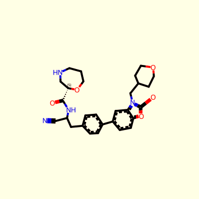 N#CC(Cc1ccc(-c2ccc3oc(=O)n(CC4CCOCC4)c3c2)cc1)NC(=O)[C@@H]1CNCCCO1